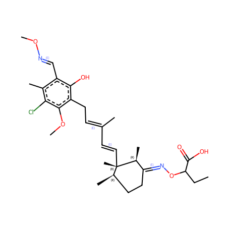 CCC(O/N=C1\CC[C@@H](C)[C@](C)(/C=C/C(C)=C/Cc2c(O)c(/C=N/OC)c(C)c(Cl)c2OC)[C@H]1C)C(=O)O